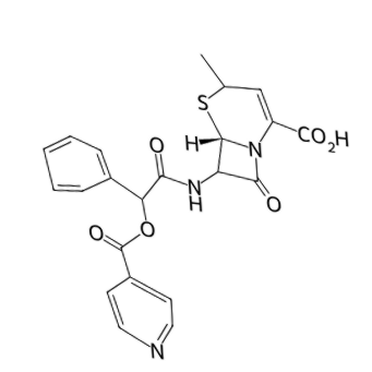 CC1C=C(C(=O)O)N2C(=O)C(NC(=O)C(OC(=O)c3ccncc3)c3ccccc3)[C@@H]2S1